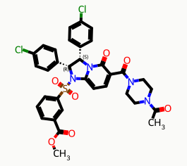 COC(=O)c1cccc(S(=O)(=O)N2c3ccc(C(=O)N4CCN(C(C)=O)CC4)c(=O)n3[C@@H](c3ccc(Cl)cc3)[C@H]2c2ccc(Cl)cc2)c1